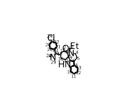 CCC(=O)N1CCc2c([nH]c3ccccc23)C12CCC(C(c1ccc(Cl)cc1)N(C)C)CC2